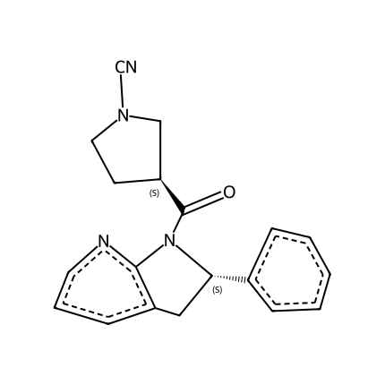 N#CN1CC[C@H](C(=O)N2c3ncccc3C[C@H]2c2ccccc2)C1